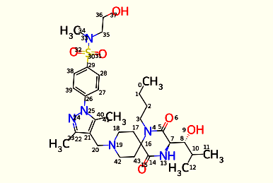 CCCCN1C(=O)[C@@H]([C@H](O)C(C)C)NC(=O)C12CCN(Cc1c(C)nn(-c3ccc(S(=O)(=O)N(C)CCO)cc3)c1C)CC2